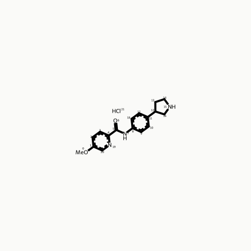 COc1ccc(C(=O)Nc2ccc(C3CCNC3)cc2)nc1.Cl